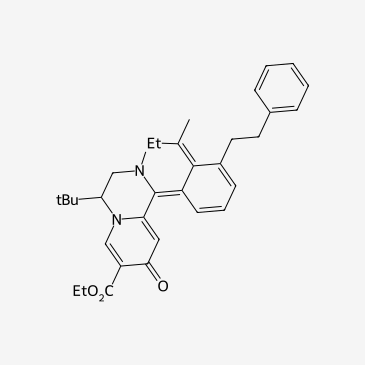 CCOC(=O)c1cn2c(cc1=O)/C(=c1\cccc(CCc3ccccc3)\c1=C(/C)CC)N(C)CC2C(C)(C)C